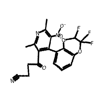 Cc1nc(C)c([N+](=O)[O-])c(-c2cccc3c2OC(F)C(F)(F)O3)c1C(=O)CCC#N